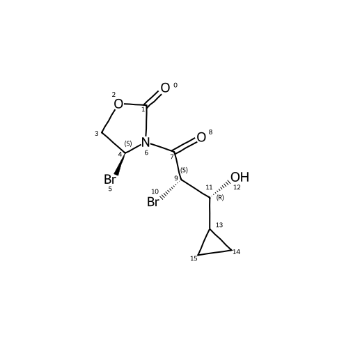 O=C1OC[C@H](Br)N1C(=O)[C@@H](Br)[C@H](O)C1CC1